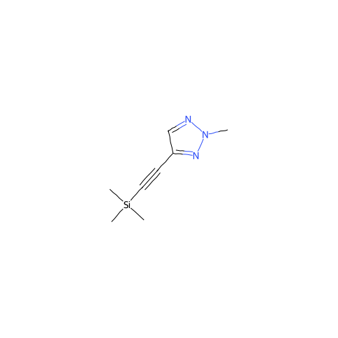 Cn1ncc(C#C[Si](C)(C)C)n1